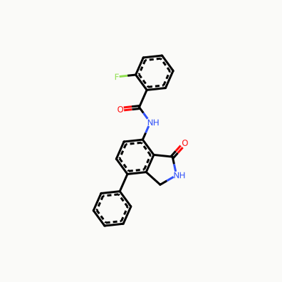 O=C(Nc1ccc(-c2ccccc2)c2c1C(=O)NC2)c1ccccc1F